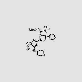 COCC(=O)N(C)CC1(c2ccccc2)CCN(c2nc3c(c(NC4CCOCC4)n2)[S+]([O-])CC3)CC1